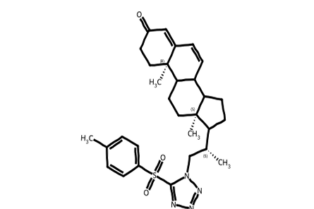 Cc1ccc(S(=O)(=O)c2nnnn2C[C@@H](C)C2CCC3C4C=CC5=CC(=O)CC[C@]5(C)C4CC[C@@]32C)cc1